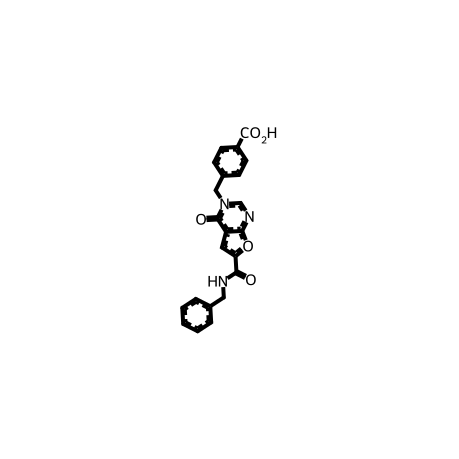 O=C(O)c1ccc(Cn2cnc3oc(C(=O)NCc4ccccc4)cc3c2=O)cc1